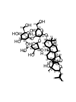 CC(C)=C[C@H]1C[C@](C)(O)[C@H]2[C@H]3CC[C@@H]4[C@@]5(C)CC[C@H](O[C@@H]6O[C@H](CO)[C@@H](O)[C@H](O[C@@H]7O[C@H](CO)[C@@H](O)[C@H](O)[C@H]7O)[C@H]6O[C@@H]6O[C@@H](CO)[C@H](O)[C@H]6O)C(C)(C)[C@@H]5CC[C@@]4(C)[C@@]34CO[C@@]2(C4)O1